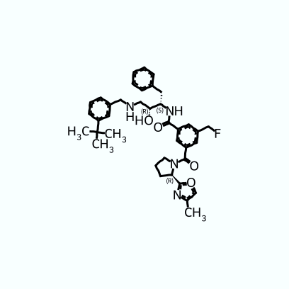 Cc1coc([C@H]2CCCN2C(=O)c2cc(CF)cc(C(=O)N[C@@H](Cc3ccccc3)[C@H](O)CNCc3cccc(C(C)(C)C)c3)c2)n1